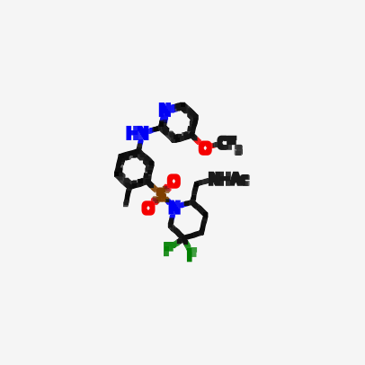 CC(=O)NCC1CCC(F)(F)CN1S(=O)(=O)c1cc(Nc2cc(OC(F)(F)F)ccn2)ccc1C